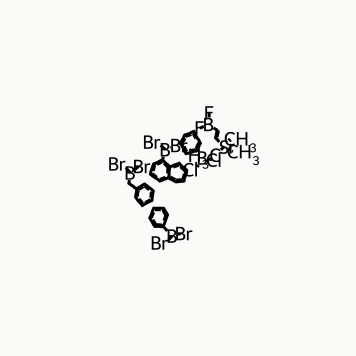 BrB(Br)Cc1ccccc1.BrB(Br)c1cccc2ccccc12.BrB(Br)c1ccccc1.C[Si](C)(C)C=CB(F)F.ClB(Cl)c1ccccc1